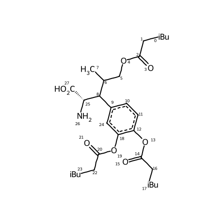 CCC(C)CC(=O)OCC(C)C(c1ccc(OC(=O)CC(C)CC)c(OC(=O)CC(C)CC)c1)[C@H](N)C(=O)O